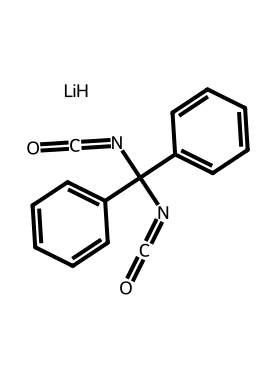 O=C=NC(N=C=O)(c1ccccc1)c1ccccc1.[LiH]